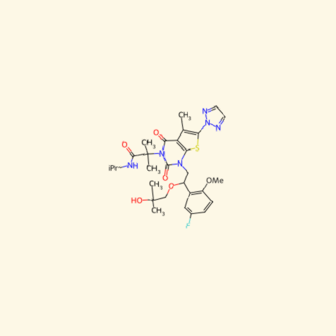 COc1ccc(F)cc1C(Cn1c(=O)n(C(C)(C)C(=O)NC(C)C)c(=O)c2c(C)c(-n3nccn3)sc21)OCC(C)(C)O